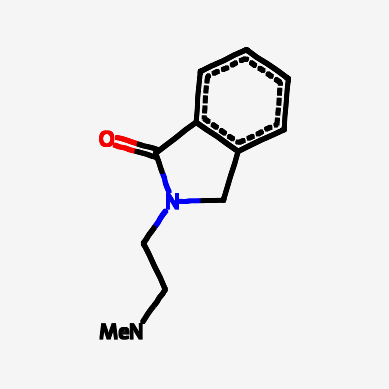 CNCCN1Cc2ccccc2C1=O